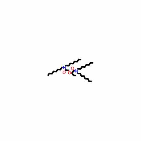 CCCCCCCCN(CCCCCCCC)C(=O)COC(CC)C(=O)N(CCCCCCCC)CCCCCCCC